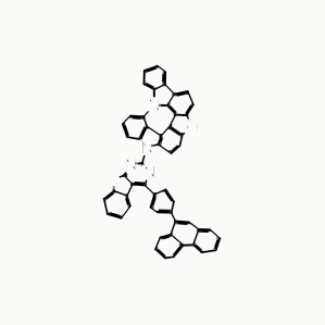 c1ccc2c(c1)cc(-c1ccc(-c3nc(-n4c5ccc6oc7ccc8c9ccccc9n9c%10cccc4c%10c5c6c7c89)nc4sc5ccccc5c34)cc1)c1ccccc12